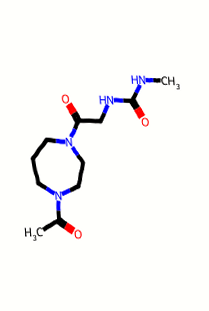 CNC(=O)NCC(=O)N1CCCN(C(C)=O)CC1